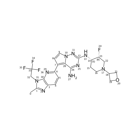 Cc1nc2ccc(-c3ccn4nc(N[C@H]5CCN(C6COC6)C[C@H]5F)nc(N)c34)nc2n1CC(F)(F)F